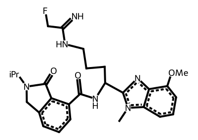 COc1cccc2c1nc(C(CCCNC(=N)CF)NC(=O)c1cccc3c1C(=O)N(C(C)C)C3)n2C